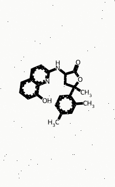 Cc1ccc(C2(C)CC(Nc3ccc4cccc(O)c4n3)C(=O)O2)c(C)c1